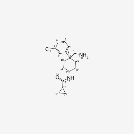 NCC1(c2cccc(Cl)c2)CCC(NC(=O)C2CC2)CC1